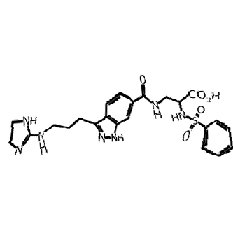 O=C(NCC(NS(=O)(=O)c1ccccc1)C(=O)O)c1ccc2c(CCCNC3=NCCN3)n[nH]c2c1